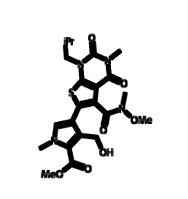 COC(=O)c1c(CO)c(-c2sc3c(c2C(=O)N(C)OC)c(=O)n(C)c(=O)n3CC(C)C)cn1C